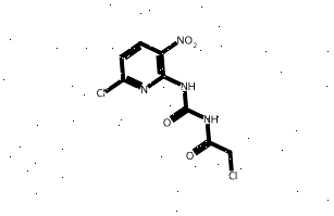 O=C(CCl)NC(=O)Nc1nc(Cl)ccc1[N+](=O)[O-]